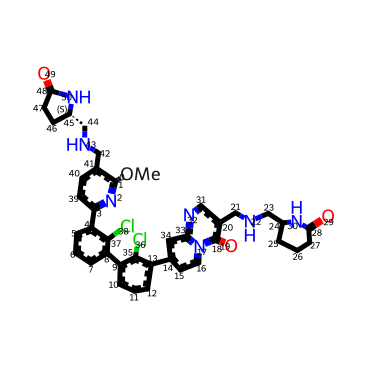 COc1nc(-c2cccc(-c3cccc(-c4ccn5c(=O)c(CNCC6CCCC(=O)N6)cnc5c4)c3Cl)c2Cl)ccc1CNC[C@@H]1CCC(=O)N1